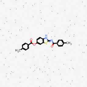 Cc1ccc(C(=O)/N=c2/[nH]c3ccc(OC(=O)c4ccc(C)cc4)cc3s2)cc1